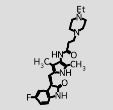 CCN1CCN(CCC(=O)Nc2c(C)[nH]c(/C=C3\C(=O)Nc4ccc(F)cc43)c2C)CC1